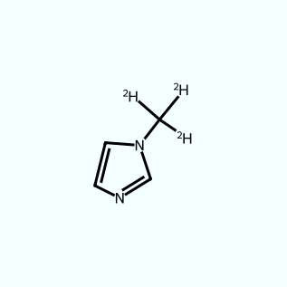 [2H]C([2H])([2H])n1ccnc1